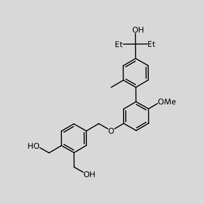 CCC(O)(CC)c1ccc(-c2cc(OCc3ccc(CO)c(CO)c3)ccc2OC)c(C)c1